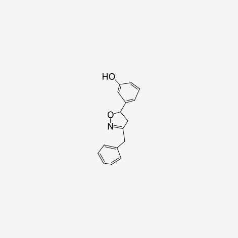 Oc1cccc(C2CC(Cc3ccccc3)=NO2)c1